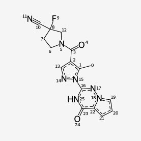 Cc1c(C(=O)N2CCC(F)(C#N)C2)cnn1-c1nn2cccc2c(=O)[nH]1